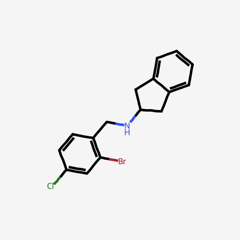 Clc1ccc(CNC2Cc3ccccc3C2)c(Br)c1